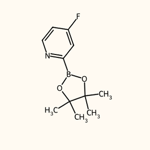 CC1(C)OB(c2cc(F)ccn2)OC1(C)C